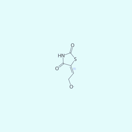 [O]C/C=C1/SC(=O)NC1=O